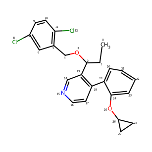 CCC(OCc1cc(Cl)ccc1Cl)c1cnccc1-c1ccccc1OC1CC1